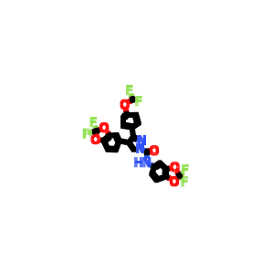 O=C(Nc1ccc2c(c1)OC(F)(F)O2)N1CC(c2ccc3c(c2)OC(F)(F)O3)C(c2ccc(OC(F)F)cc2)=N1